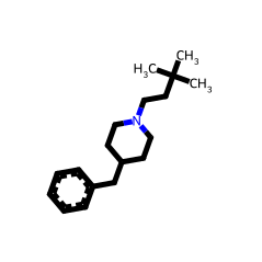 CC(C)(C)CCN1CCC(Cc2ccccc2)CC1